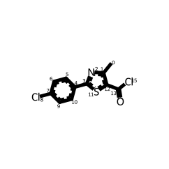 Cc1nc(-c2ccc(Cl)cc2)sc1C(=O)Cl